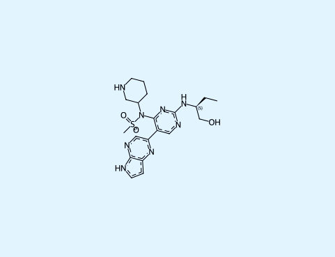 CC[C@@H](CO)Nc1ncc(-c2cnc3[nH]ccc3n2)c(N(C2CCCNC2)S(C)(=O)=O)n1